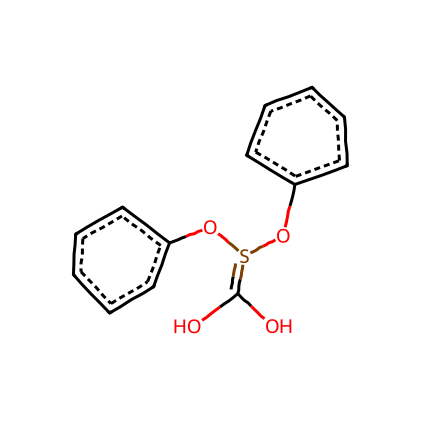 OC(O)=S(Oc1ccccc1)Oc1ccccc1